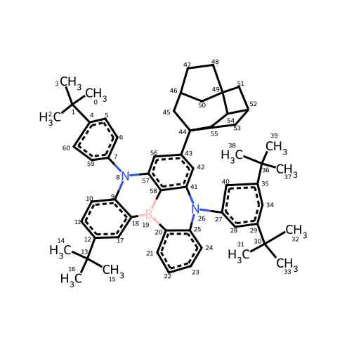 CC(C)(C)c1ccc(N2c3ccc(C(C)(C)C)cc3B3c4ccccc4N(c4cc(C(C)(C)C)cc(C(C)(C)C)c4)c4cc(C56CC7CCC8(C7)CC(C5)C8C6)cc2c43)cc1